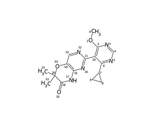 COc1ncnc(C2CC2)c1-c1ncc2c(n1)NC(=O)C(C)(C)O2